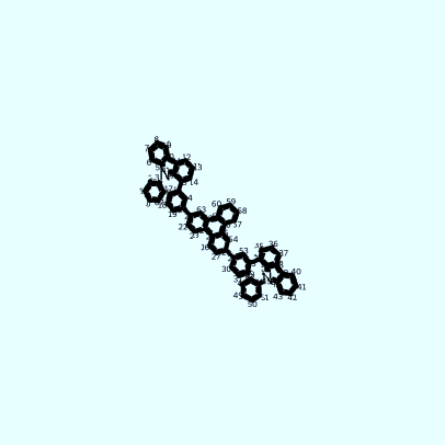 c1ccc(-n2c3ccccc3c3cccc(-c4cccc(-c5ccc6c7ccc(-c8cccc(-c9cccc%10c%11ccccc%11n(-c%11ccccc%11)c9%10)c8)cc7c7ccccc7c6c5)c4)c32)cc1